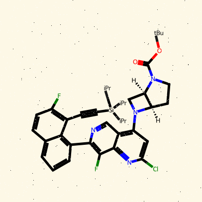 CC(C)[Si](C#Cc1c(F)ccc2cccc(-c3ncc4c(N5C[C@@H]6[C@H]5CCN6C(=O)OC(C)(C)C)cc(Cl)nc4c3F)c12)(C(C)C)C(C)C